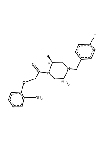 C[C@@H]1CN(C(=O)COc2ccccc2N)[C@@H](C)CN1Cc1ccc(F)cc1